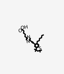 CCCCCCc1cc2c(cc1C#Cc1cnc(CCCCC(=O)O)cn1)C(C)(C)CC(C)(C)S2